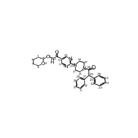 O=C(NOC1CCCCO1)c1cnc(N2CCN(C(=O)C(c3ccccc3)c3ccccc3)CC2)nc1